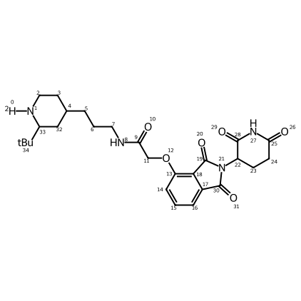 [2H]N1CCC(CCCNC(=O)COc2cccc3c2C(=O)N(C2CCC(=O)NC2=O)C3=O)CC1C(C)(C)C